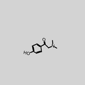 CN(C)CC(=O)c1ccc(O)cc1